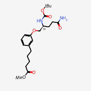 COC(=O)CCCCc1cccc(OC[C@H](CCC(N)=O)NC(=O)OC(C)(C)C)c1